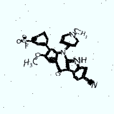 COc1cc2c(=O)c3c4ccc(C#N)cc4[nH]c3n(C3CCN(C)CC3)c2cc1-c1cccc(S(=O)(=O)F)c1